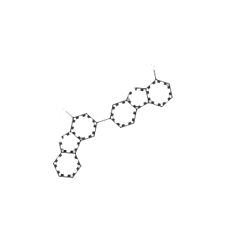 Nc1cccc2c1oc1cc(-c3cc(N)c4sc5ccccc5c4c3)ccc12